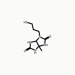 CC12NC(=O)NC1N(CCCS)C(=O)N2